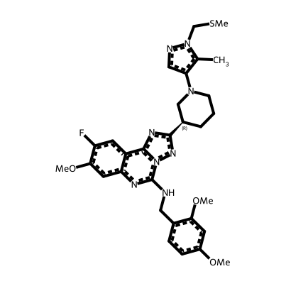 COc1ccc(CNc2nc3cc(OC)c(F)cc3c3nc([C@@H]4CCCN(c5cnn(CSC)c5C)C4)nn23)c(OC)c1